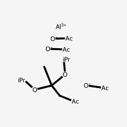 CC(=O)CC(C)(OC(C)C)OC(C)C.CC(=O)[O-].CC(=O)[O-].CC(=O)[O-].[Al+3]